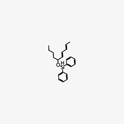 CC=CC=CC(CCCC)O[SiH](c1ccccc1)c1ccccc1